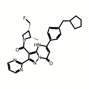 C[C@H]1[C@@H](CF)CN1C(=O)c1c(-c2ncccn2)nn2c(=O)cc(-c3ccc(CC4CCCC4)cc3)[nH]c12